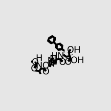 COC(=O)N[C@H](C(=O)OCn1cc(C(=O)N[C@H](Cc2ccc(-c3ccccc3)cc2)C[C@@](C)(CO)C(=O)O)nn1)C(C)C